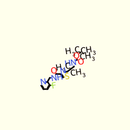 CC(C)(C)OC(=O)NCC(C)(C)c1nc(C(=O)NCc2ncccc2F)cs1